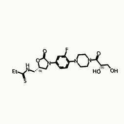 CCC(=S)NC[C@H]1CN(c2ccc(N3CCN(C(=O)[C@@H](O)CO)CC3)c(F)c2)C(=O)O1